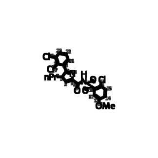 CCCC1C=C(C(=O)NS(=O)(=O)c2cc(OC)ccc2Cl)N=C1c1cccc(Cl)c1Cl